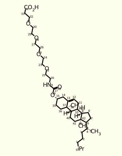 CC(C)CCC[C@@H](C)C1CC[C@H]2[C@@H]3CC=C4C[C@@H](OC(=O)NCCOCCOCCOCCOCCC(=O)O)CC[C@]4(C)[C@H]3CC[C@]12C